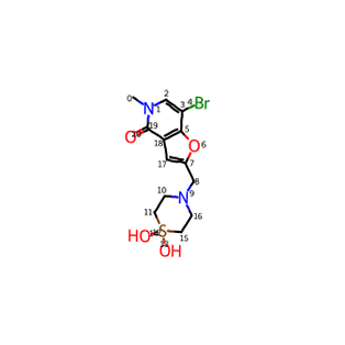 Cn1cc(Br)c2oc(CN3CCS(O)(O)CC3)cc2c1=O